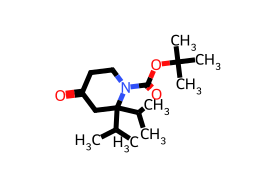 CC(C)C1(C(C)C)CC(=O)CCN1C(=O)OC(C)(C)C